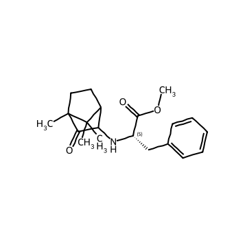 COC(=O)[C@H](Cc1ccccc1)NC1C(=O)C2(C)CCC1C2(C)C